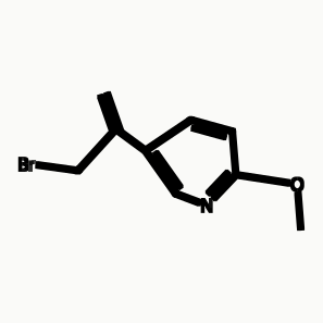 C=C(CBr)c1ccc(OC)nc1